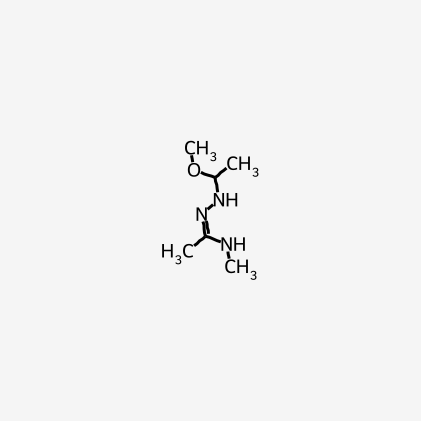 CN/C(C)=N\NC(C)OC